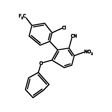 N#Cc1c([N+](=O)[O-])ccc(Oc2ccccc2)c1-c1ccc(C(F)(F)F)cc1Cl